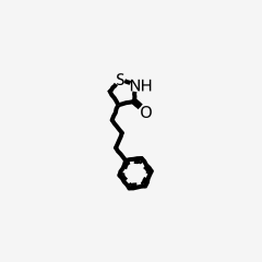 O=C1NSCC1CCCc1ccccc1